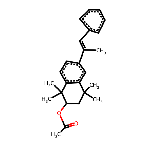 CC(=O)OC1CC(C)(C)c2cc(C(C)=Cc3ccccc3)ccc2C1(C)C